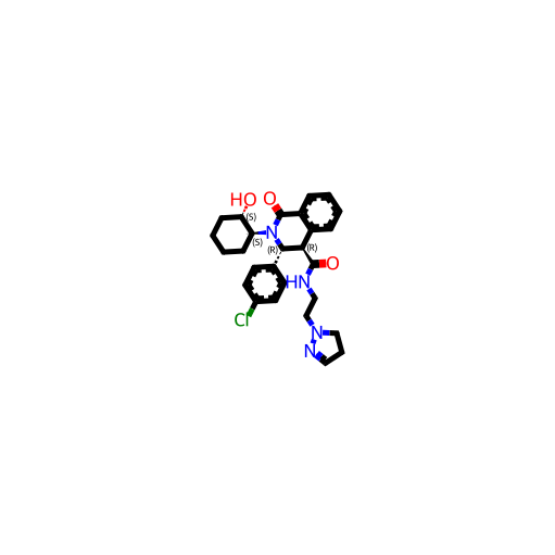 O=C(NCCN1CCC=N1)[C@@H]1c2ccccc2C(=O)N([C@H]2CCCC[C@@H]2O)[C@H]1c1ccc(Cl)cc1